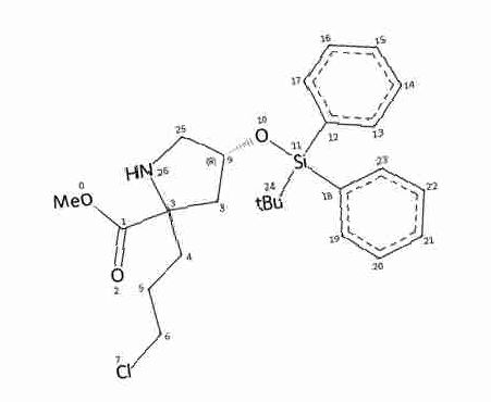 COC(=O)C1(CCCCl)C[C@@H](O[Si](c2ccccc2)(c2ccccc2)C(C)(C)C)CN1